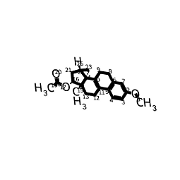 COc1ccc2c(c1)CCC1=C2CC[C@]2(C)[C@H](OC(C)=O)C[C@@H]3C[C@@]132